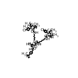 Cc1ncsc1-c1ccc(CNC(=O)[C@@H]2C[C@@H](O)CN2C(=O)[C@@H](NC(=O)CCCCCCNC(=O)C[C@@H]2N=C(c3ccc(Cl)cc3)c3c(sc(C)c3C)-n3c(C)nnc32)C(C)(C)SCCCCCCNC(=O)C[C@@H]2N=C(c3ccc(Cl)cc3)c3c(sc(C)c3C)-n3c(C)nnc32)cc1